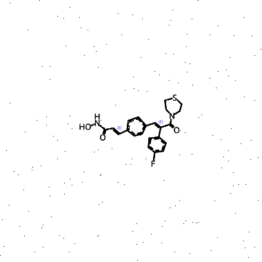 O=C(/C=C/c1ccc(/C=C(/C(=O)N2CCSCC2)c2ccc(F)cc2)cc1)NO